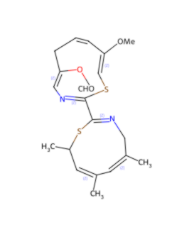 CO/C1=C\SC(/C2=N/C/C(C)=C\C(C)=C/C(C)S2)=N\C=C(/OC=O)CC=C1